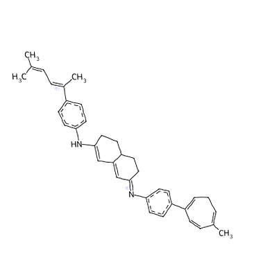 CC(C)=C/C=C(\C)c1ccc(NC2=CC3=C/C(=N/c4ccc(C5=CCC=C(C)C=C5)cc4)CCC3CC2)cc1